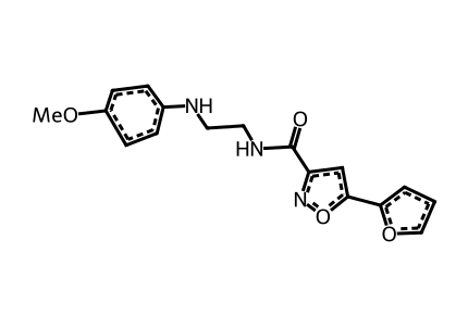 COc1ccc(NCCNC(=O)c2cc(-c3ccco3)on2)cc1